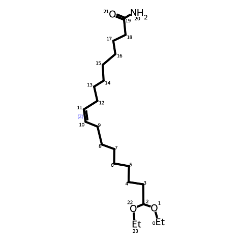 CCOC(CCCCCCC/C=C\CCCCCCCC(N)=O)OCC